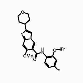 COc1cc2nc(C3CCOCC3)cn2cc1C(=O)Nc1ccc(F)cc1OC(C)C